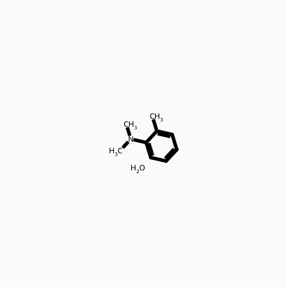 Cc1ccccc1N(C)C.O